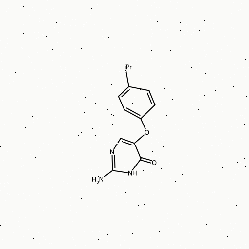 CC(C)c1ccc(Oc2cnc(N)[nH]c2=O)cc1